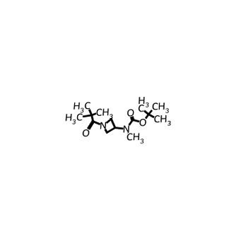 CN(C(=O)OC(C)(C)C)C1CN(C(=O)C(C)(C)C)C1